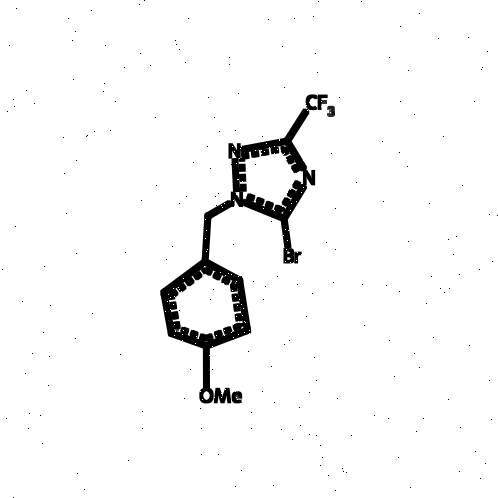 COc1ccc(Cn2nc(C(F)(F)F)nc2Br)cc1